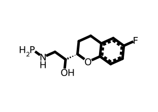 OC(CNP)[C@@H]1CCc2cc(F)ccc2O1